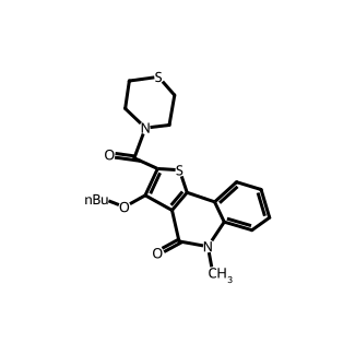 CCCCOc1c(C(=O)N2CCSCC2)sc2c1c(=O)n(C)c1ccccc21